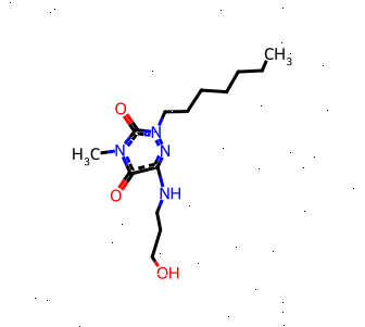 CCCCCCCn1nc(NCCCO)c(=O)n(C)c1=O